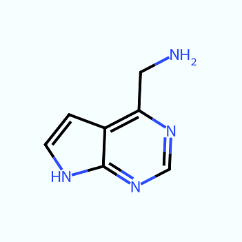 NCc1ncnc2[nH]ccc12